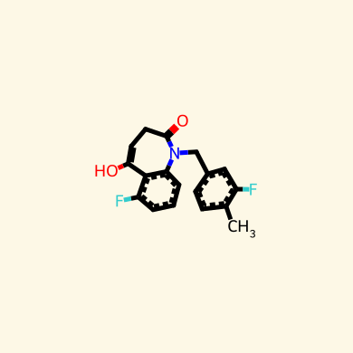 Cc1ccc(CN2C(=O)CC=C(O)c3c(F)cccc32)cc1F